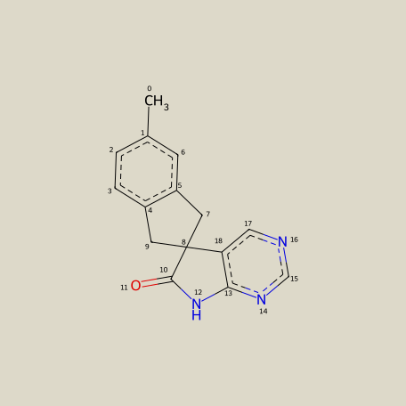 Cc1ccc2c(c1)CC1(C2)C(=O)Nc2ncncc21